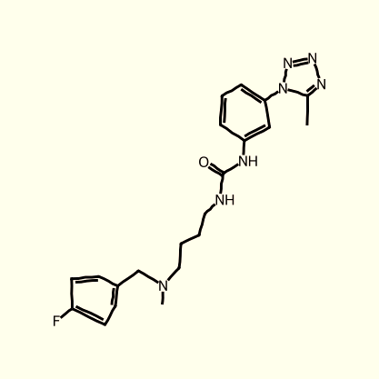 Cc1nnnn1-c1cccc(NC(=O)NCCCCN(C)Cc2ccc(F)cc2)c1